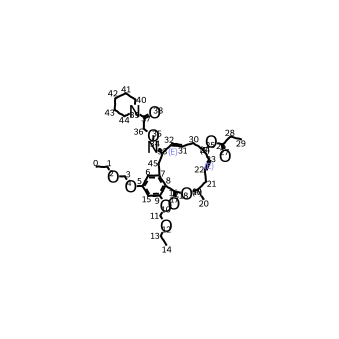 CCOCOc1cc2c(c(OCOCC)c1)C(=O)O[C@H](C)C/C=C/[C@@H](OC(=O)CC)C/C=C/C(=NOCC(=O)N1CCCCC1)C2